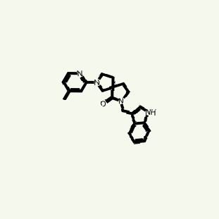 Cc1ccnc(N2CCC3(CCN(Cc4c[nH]c5ccccc45)C3=O)C2)c1